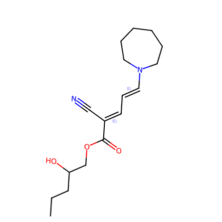 CCCC(O)COC(=O)/C(C#N)=C/C=C/N1CCCCCC1